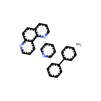 [SiH4].c1ccc(-c2ccccc2)cc1.c1ccncc1.c1cnc2c(c1)ccc1ncccc12